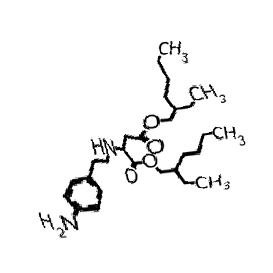 CCCCC(CC)COC(=O)CC(NCCc1ccc(N)cc1)C(=O)OCC(CC)CCCC